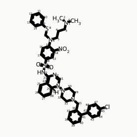 CN(C)CCCN(CSc1ccccc1)c1ccc(S(=O)(=O)NC2=C3C=CC=C[C@H]3N(N3CCN(Cc4ccccc4-c4ccc(Cl)cc4)CC3)C=N2)cc1[N+](=O)[O-]